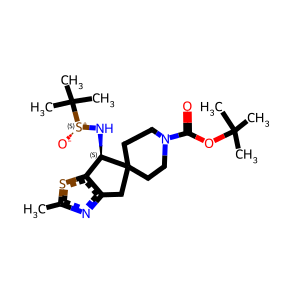 Cc1nc2c(s1)[C@@H](N[S@+]([O-])C(C)(C)C)C1(CCN(C(=O)OC(C)(C)C)CC1)C2